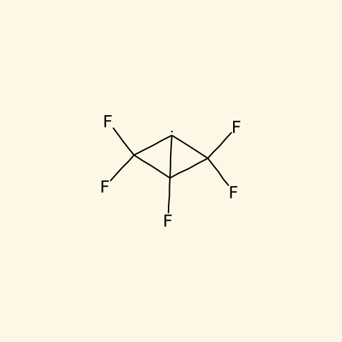 FC1(F)[C]2C(F)(F)C21F